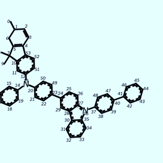 CC1C=CC2=C(C1)C(C)(C)c1cc(N(c3ccccc3)c3ccc(-c4ccc5c(c4)c4ccccc4n5-c4ccc(-c5ccccc5)cc4)cc3)ccc12